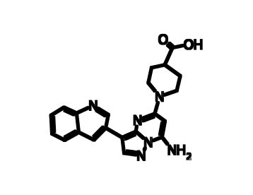 Nc1cc(N2CCC(C(=O)O)CC2)nc2c(-c3cnc4ccccc4c3)cnn12